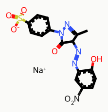 CC1=NN(c2ccc(S(=O)(=O)[O-])cc2)C(=O)C1N=Nc1cc([N+](=O)[O-])ccc1O.[Na+]